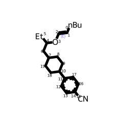 CCCC/C=C/OC(CC)CC1CCC(c2ccc(C#N)cc2)CC1